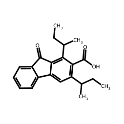 CCC(C)c1cc2c(c(C(C)CC)c1C(=O)O)C(=O)c1ccccc1-2